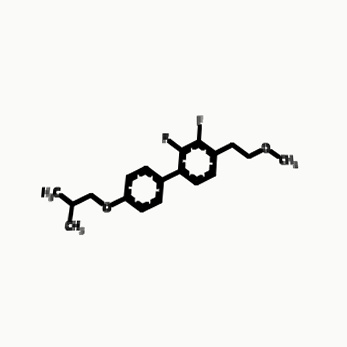 COCCc1ccc(-c2ccc(OCC(C)C)cc2)c(F)c1F